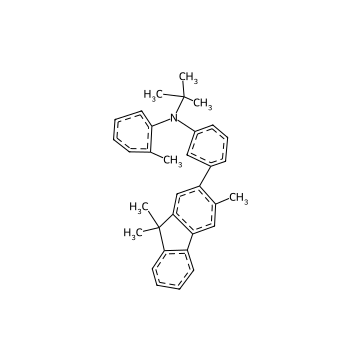 Cc1cc2c(cc1-c1cccc(N(c3ccccc3C)C(C)(C)C)c1)C(C)(C)c1ccccc1-2